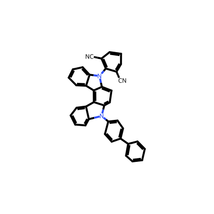 N#Cc1cccc(C#N)c1-n1c2ccccc2c2c3c4ccccc4n(-c4ccc(-c5ccccc5)cc4)c3ccc21